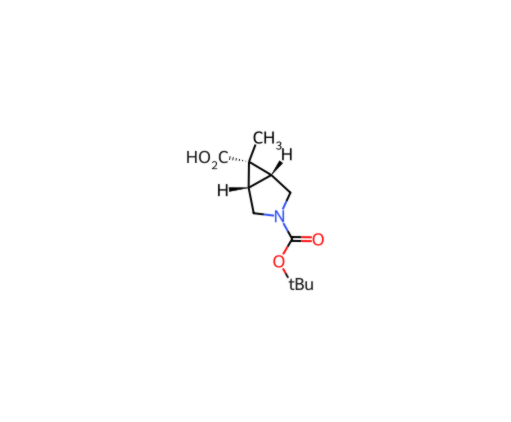 CC(C)(C)OC(=O)N1C[C@@H]2[C@H](C1)[C@]2(C)C(=O)O